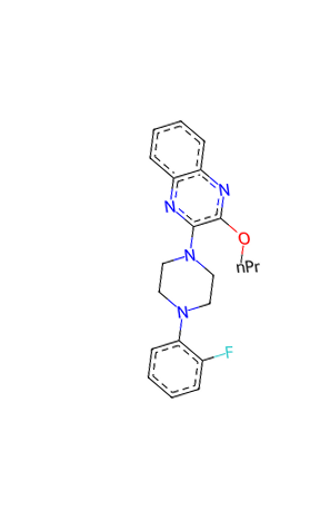 CCCOc1nc2ccccc2nc1N1CCN(c2ccccc2F)CC1